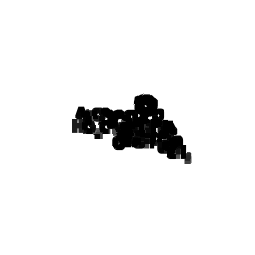 CC(=O)OCC1=C(C(=O)O)N2C(=O)[C@@](NO)(NC(=O)C(NC(=O)N3CCN(S(C)(=O)=O)C3=O)c3ccccc3)[C@H]2SC1